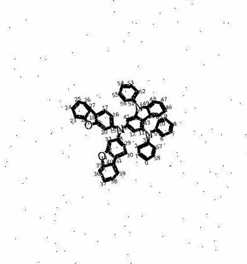 c1ccc(N(c2ccccc2)c2cc(N(c3ccc4c(c3)oc3ccccc34)c3ccc4c(c3)oc3ccccc34)cc3c2c2ccccc2n3-c2ccccc2)cc1